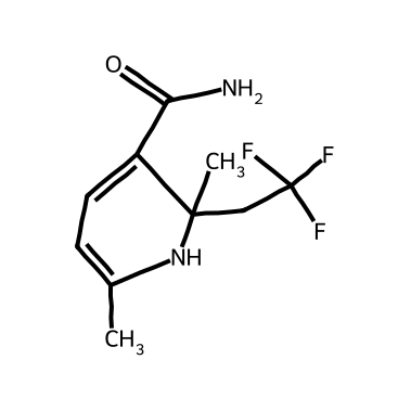 CC1=CC=C(C(N)=O)C(C)(CC(F)(F)F)N1